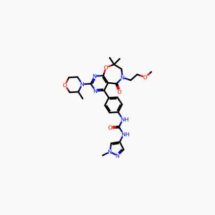 COCCN1CC(C)(C)Oc2nc(N3CCOCC3C)nc(-c3ccc(NC(=O)Nc4cnn(C)c4)cc3)c2C1=O